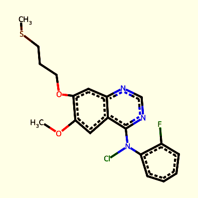 COc1cc2c(N(Cl)c3ccccc3F)ncnc2cc1OCCCSC